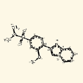 COc1cc(S(=O)(=O)N(C)C)ccc1-c1cn2cnncc2n1